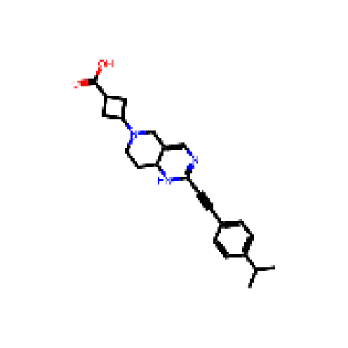 CC(C)c1ccc(C#CC2=NC=C3CN(C4CC(C(=O)O)C4)CCC3N2)cc1